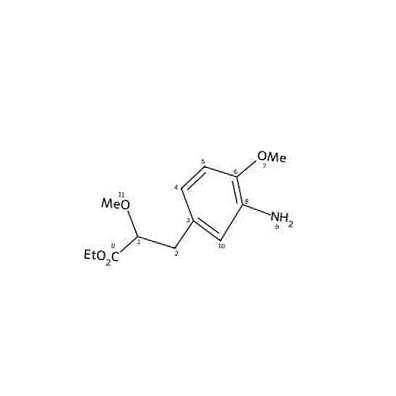 CCOC(=O)C(Cc1ccc(OC)c(N)c1)OC